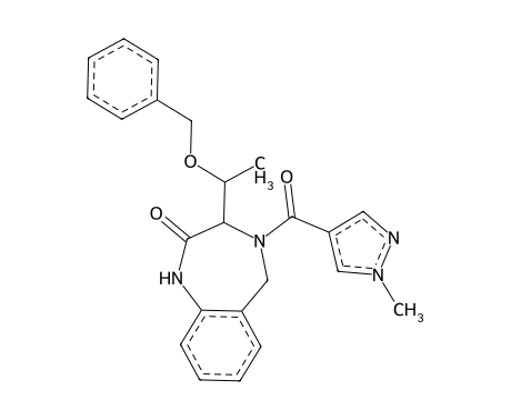 CC(OCc1ccccc1)C1C(=O)Nc2ccccc2CN1C(=O)c1cnn(C)c1